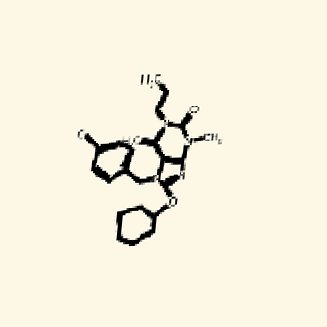 C=C1c2c(nc(OC3CCCCC3)n2Cc2ccc(Cl)cc2)N(C)C(=O)N1CCC